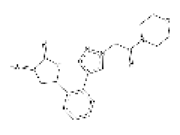 C=C1CC(c2ccccc2-c2cnn(CC(=O)N3CCOCC3)c2)OC1=O